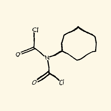 O=C(Cl)N(C(=O)Cl)C1CCCCC1